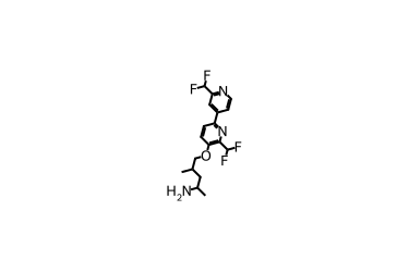 CC(N)CC(C)COc1ccc(-c2ccnc(C(F)F)c2)nc1C(F)F